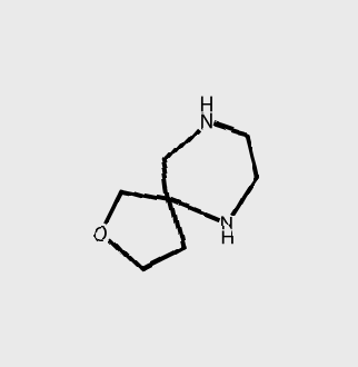 C1CNC2(CCOC2)CN1